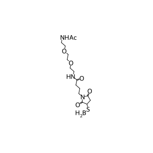 BSC1CC(=O)N(CCCC(=O)NCCOCCOCCNC(C)=O)C1=O